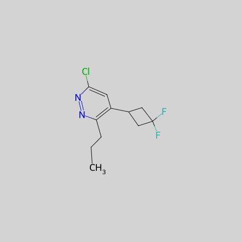 CCCc1nnc(Cl)cc1C1CC(F)(F)C1